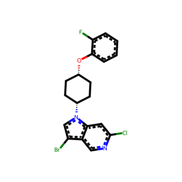 Fc1ccccc1O[C@H]1CC[C@@H](n2cc(Br)c3cnc(Cl)cc32)CC1